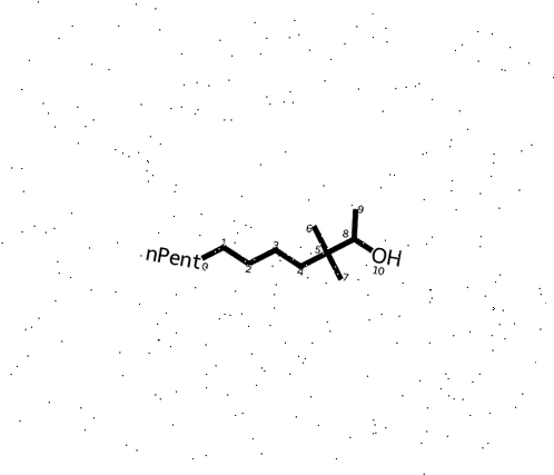 CCCCCCCCCC(C)(C)C(C)O